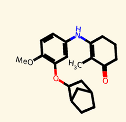 COc1ccc(NC2=C(C)C(=O)CCC2)cc1OC1CC2CCC1C2